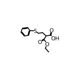 CCOC(=O)C(CCSc1ccccc1)C(=O)O